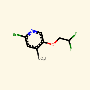 O=C(O)c1cc(Br)ncc1OCC(F)F